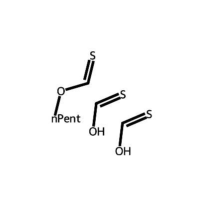 CCCCCOC=S.OC=S.OC=S